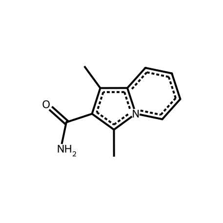 Cc1c(C(N)=O)c(C)n2ccccc12